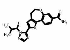 CC(C)C(F)n1ncnc1-c1cc2c(s1)-c1ccc(C(N)=O)cc1OCC2